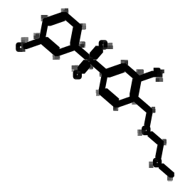 COCOCc1ccc(S(=O)(=O)c2cccc(Cl)c2)cc1Br